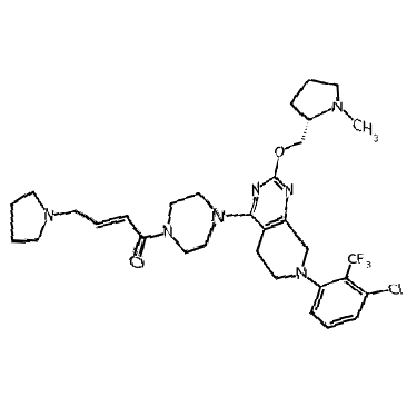 CN1CCC[C@H]1COc1nc2c(c(N3CCN(C(=O)/C=C/CN4CCCC4)CC3)n1)CCN(c1cccc(Cl)c1C(F)(F)F)C2